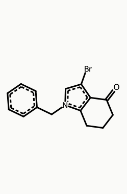 O=C1CCCc2c1c(Br)cn2Cc1ccccc1